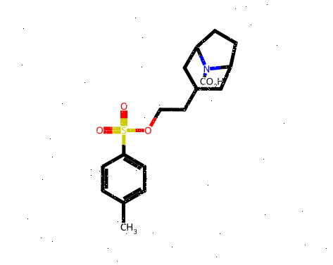 Cc1ccc(S(=O)(=O)OCCC2CC3CCC(C2)N3C(=O)O)cc1